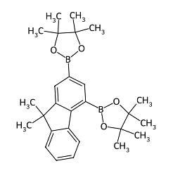 CC1(C)c2ccccc2-c2c(B3OC(C)(C)C(C)(C)O3)cc(B3OC(C)(C)C(C)(C)O3)cc21